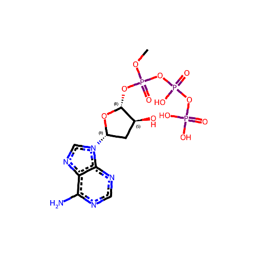 COP(=O)(O[C@H]1O[C@@H](n2cnc3c(N)ncnc32)C[C@@H]1O)OP(=O)(O)OP(=O)(O)O